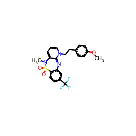 COc1ccc(CCN2C=CC=C3C2=Nc2cc(C(F)(F)F)ccc2S(=O)(=O)N3C)cc1